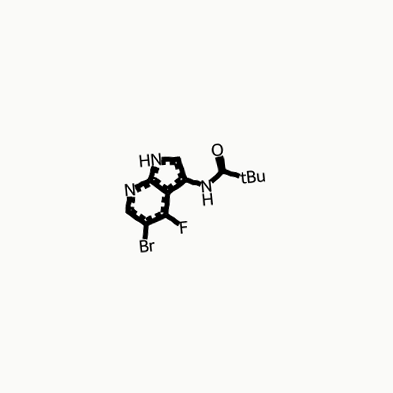 CC(C)(C)C(=O)Nc1c[nH]c2ncc(Br)c(F)c12